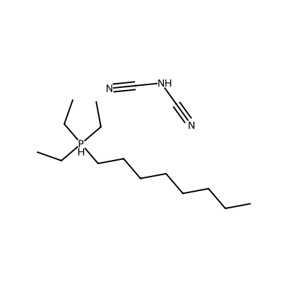 CCCCCCCC[PH](CC)(CC)CC.N#CNC#N